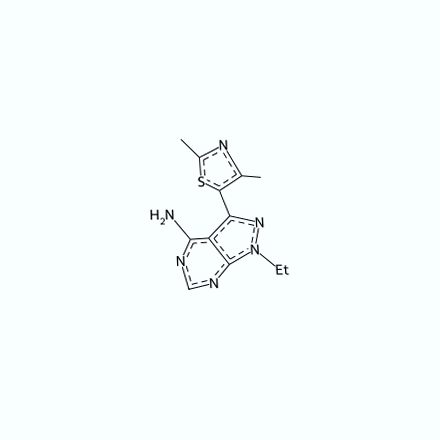 [CH2]Cn1nc(-c2sc(C)nc2C)c2c(N)ncnc21